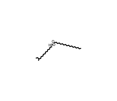 CCCCCCCCCCCCCCCCCC(=O)OPCCCCCCCCCCCC(C)CC